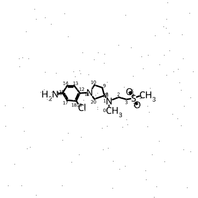 CN(CCS(C)(=O)=O)[C@@H]1CCN(c2ccc(N)cc2Cl)C1